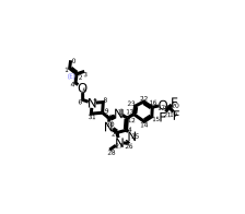 C/C=C(\C)COCN1CC(c2nc(-c3ccc(OC(F)(F)F)cc3)c3ncn(C)c3n2)C1